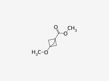 COC(=O)C12CC(OC)(C1)C2